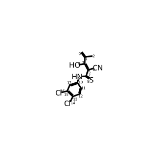 C=C(C)C(O)=C(C#N)C(=S)Nc1ccc(Cl)c(Cl)c1